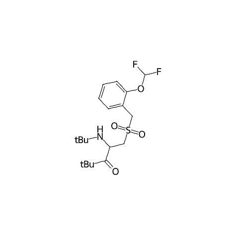 CC(C)(C)NC(CS(=O)(=O)Cc1ccccc1OC(F)F)C(=O)C(C)(C)C